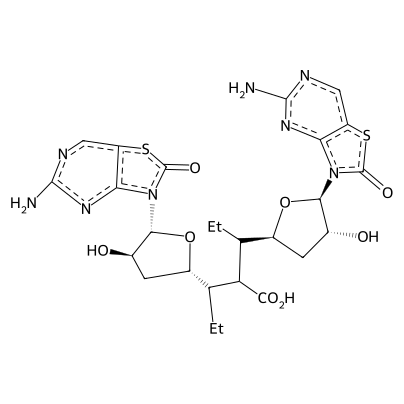 CCC(C(C(=O)O)C(CC)[C@@H]1C[C@@H](O)[C@H](n2c(=O)sc3cnc(N)nc32)O1)[C@@H]1C[C@@H](O)[C@H](n2c(=O)sc3cnc(N)nc32)O1